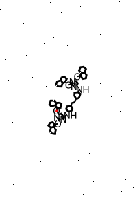 C(=Cc1ccc(Nc2cc(Oc3cccc4ccccc34)nc(Oc3cccc4ccccc34)n2)cc1)c1ccc(Nc2cc(Oc3cccc4ccccc34)nc(Oc3cccc4ccccc34)n2)cc1